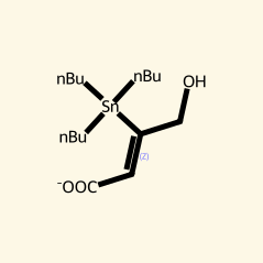 CCC[CH2][Sn]([CH2]CCC)([CH2]CCC)/[C](=C\C(=O)[O-])CO